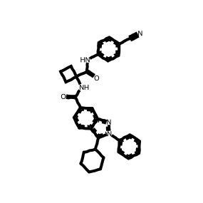 N#Cc1ccc(NC(=O)C2(NC(=O)c3ccc4c(C5CCCCC5)n(-c5ccccc5)nc4c3)CCC2)cc1